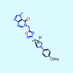 COc1ccc(N2C=C3[C@H](c4noc(Cn5cnc6ncn(C)c6c5=O)n4)[C@H]3C2)cc1